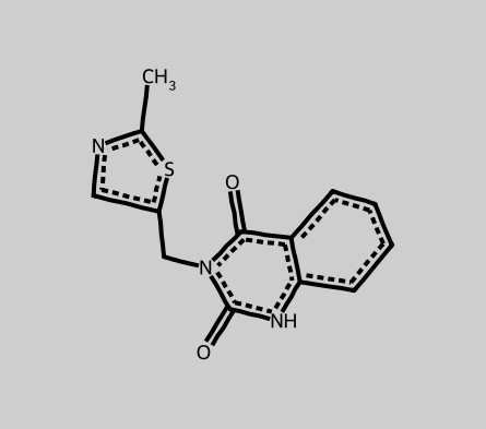 Cc1ncc(Cn2c(=O)[nH]c3ccccc3c2=O)s1